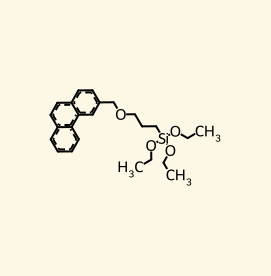 CCO[Si](CCCOCc1ccc2ccc3ccccc3c2c1)(OCC)OCC